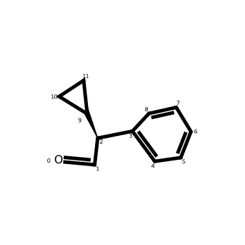 O=C[C@H](c1ccccc1)C1CC1